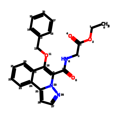 CCOC(=O)CNC(=O)c1c(OCc2ccccc2)c2ccccc2c2ccnn12